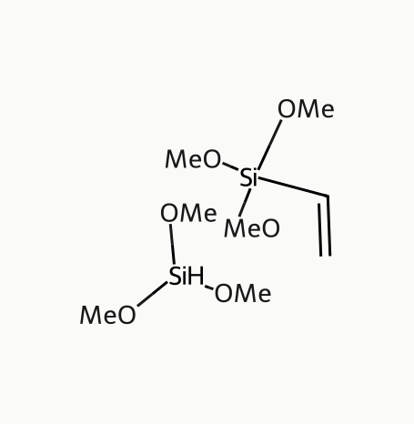 C=C[Si](OC)(OC)OC.CO[SiH](OC)OC